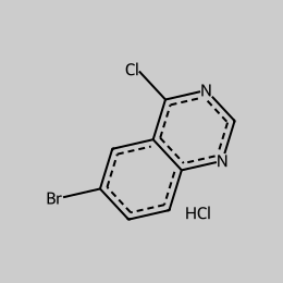 Cl.Clc1ncnc2ccc(Br)cc12